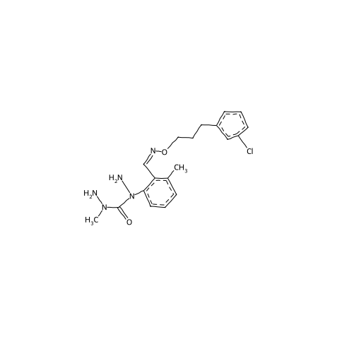 Cc1cccc(N(N)C(=O)N(C)N)c1/C=N\OCCCc1cccc(Cl)c1